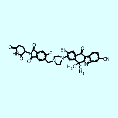 CCc1cc2c(cc1N1CCN(Cc3cc4c(cc3F)C(=O)N(C3CCC(=O)NC3=O)C4=O)CC1)C(C)(C)c1[nH]c3cc(C#N)ccc3c1C2=O